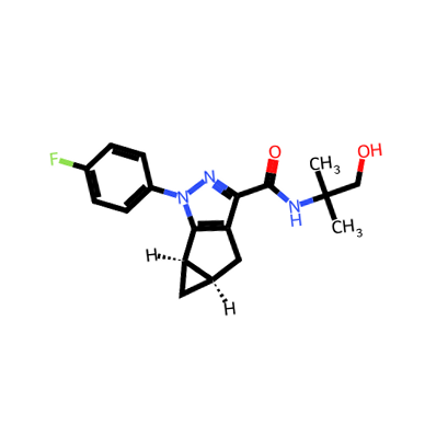 CC(C)(CO)NC(=O)c1nn(-c2ccc(F)cc2)c2c1C[C@H]1C[C@@H]21